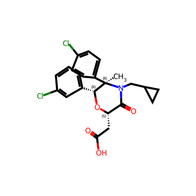 C[C@@]1(c2ccc(Cl)cc2)[C@@H](c2cccc(Cl)c2)O[C@@H](CC(=O)O)C(=O)N1CC1CC1